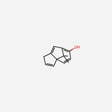 CC1(C)C2=C(O)C=CC13C=CCC3=C2